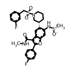 CNC(=O)c1c(-c2ccc(F)cc2)oc2cc(N[S@+](C)[O-])c([C@H]3CCCN(S(=O)(=O)Cc4cccc(F)c4)C3)cc12